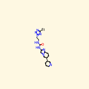 CCc1nnn(CCNC(=O)Nc2cn3cc(-c4cccnc4)ccc3n2)n1